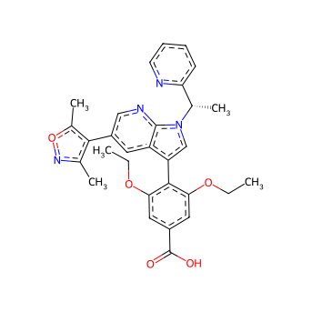 CCOc1cc(C(=O)O)cc(OCC)c1-c1cn([C@@H](C)c2ccccn2)c2ncc(-c3c(C)noc3C)cc12